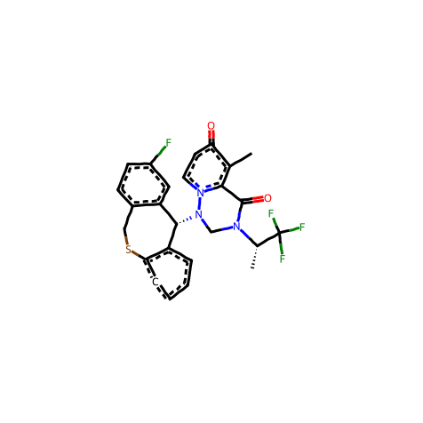 Cc1c2n(ccc1=O)N([C@H]1c3cc(F)ccc3CSc3ccccc31)CN([C@@H](C)C(F)(F)F)C2=O